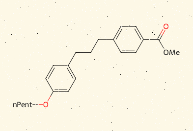 CCCCCOc1ccc(CCCc2ccc(C(=O)OC)cc2)cc1